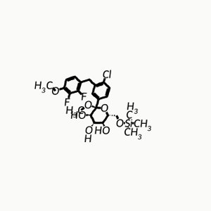 COc1ccc(Cc2cc([C@]3(OC)O[C@H](CO[Si](C)(C)C)[C@@H](O)[C@H](O)[C@H]3O)ccc2Cl)c(F)c1F